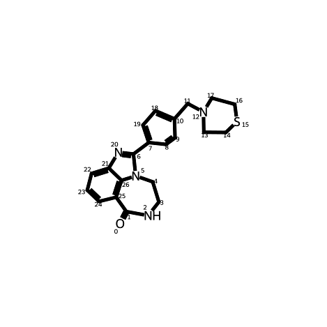 O=C1NCCn2c(-c3ccc(CN4CCSCC4)cc3)nc3cccc1c32